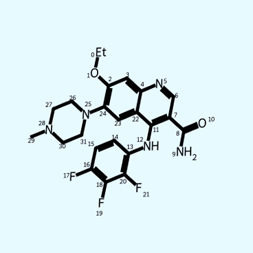 CCOc1cc2ncc(C(N)=O)c(Nc3ccc(F)c(F)c3F)c2cc1N1CCN(C)CC1